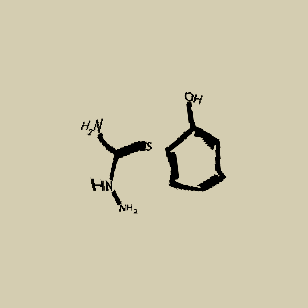 NNC(N)=S.Oc1ccccc1